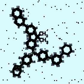 CC1(C)c2ccc(-c3ccc4ccccc4c3)cc2-c2ccc(N(c3ccc(-c4cccc(C5CCCCC5)c4)cc3)c3ccc(C4CC5CCC4C5)cc3)cc21